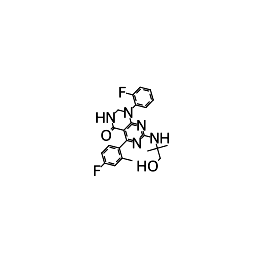 Cc1cc(F)ccc1-c1nc(NC(C)(C)CO)nc2c1C(=O)NCN2c1ccccc1F